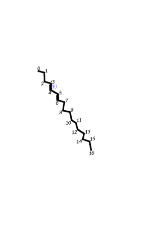 CCC/[C]=C/C=CCCCCCCCCCC